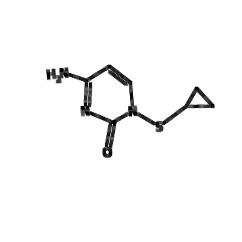 Nc1ccn(SC2CC2)c(=O)n1